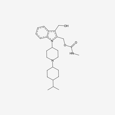 CNC(=O)OCc1c(CO)c2ccccc2n1C1CCN(C2CCC(C(C)C)CC2)CC1